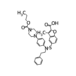 CCCOC(=O)N1CCN(c2ccc(N(CCc3ccccc3)Sc3ccc4oc(C(=O)O)c(C)c4c3)cc2)CC1